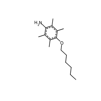 CCCCCCOc1c(C)c(C)c(N)c(C)c1C